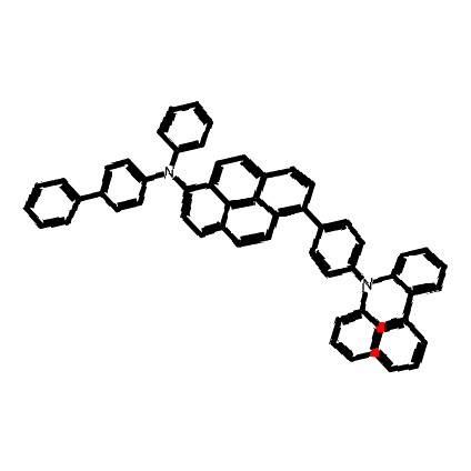 c1ccc(-c2ccc(N(c3ccccc3)c3ccc4ccc5c(-c6ccc(N(c7ccccc7)c7ccccc7-c7ccccc7)cc6)ccc6ccc3c4c65)cc2)cc1